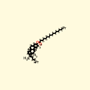 CC(C)CCCCCCCCCCCCCCC(=O)O[C@H]1CC[C@@]2(C)C(=CC[C@H]3[C@@H]4CC[C@H]([C@H](C)CCCC(C)C)[C@@]4(C)CC[C@@H]32)C1